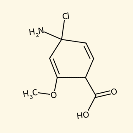 COC1=CC(N)(Cl)C=CC1C(=O)O